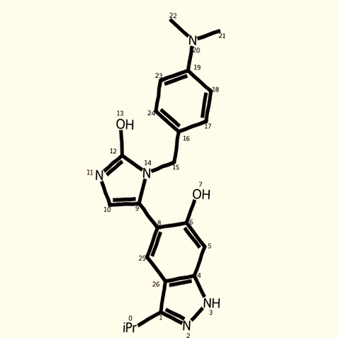 CC(C)c1n[nH]c2cc(O)c(-c3cnc(O)n3Cc3ccc(N(C)C)cc3)cc12